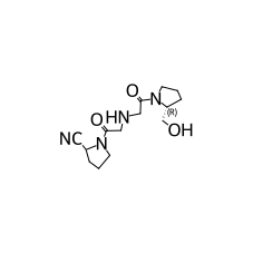 N#CC1CCCN1C(=O)CNCC(=O)N1CCC[C@@H]1CO